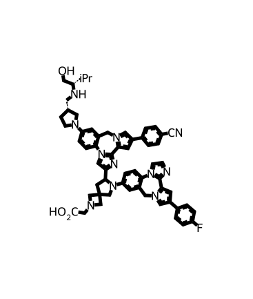 CC(C)[C@@H](CO)NC[C@H]1CCN(c2ccc3c(c2)Cn2cc(-c4ccc(C#N)cc4)cc2-c2nc(C4CC5(CN(CC(=O)O)C5)CN4c4ccc5c(c4)Cn4cc(-c6ccc(F)cc6)cc4-c4nccn4-5)cn2-3)C1